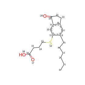 CCCCCCc1cc2c(cc1SCCCC(=O)O)C(=O)CC2